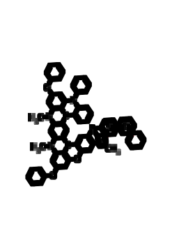 CN1c2cc3c(cc2B2c4cc5c(cc4Oc4cc(Oc6ccccc6)cc1c42)N(C)c1cc(Oc2ccccc2)cc2c1B5c1ccccc1N2c1ccccc1)B1c2ccccc2N(c2ccccc2)c2cc(Oc4ccccc4)cc(c21)N3C